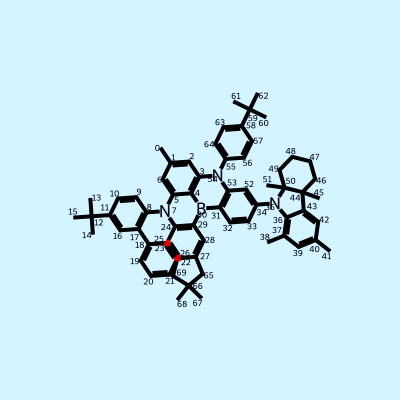 Cc1cc2c3c(c1)N(c1ccc(C(C)(C)C)cc1-c1ccccc1)c1cc4c(cc1B3c1ccc(N3c5c(C)cc(C)cc5C5(C)CCCCC35C)cc1N2c1ccc(C(C)(C)C)cc1)CC(C)(C)C4